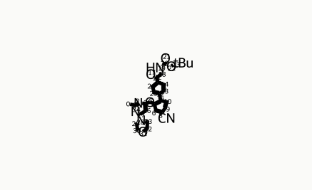 Cc1nc(Oc2cc(C#N)ccc2-c2ccc(C(=O)CNC(=O)OC(C)(C)C)cc2)cc(N2CCOCC2)n1